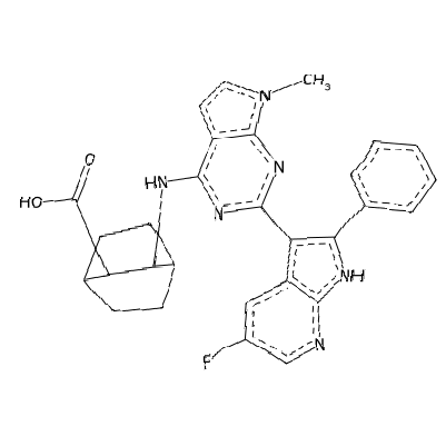 Cn1ccc2c(NC3C4CCC(CC4)C3C(=O)O)nc(-c3c(-c4ccccc4)[nH]c4ncc(F)cc34)nc21